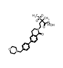 CC(CCN1CCc2cc(-c3ccc(CN4CCOCC4)cc3)ccc2C1=O)(C(=O)NO)S(C)(=O)=O